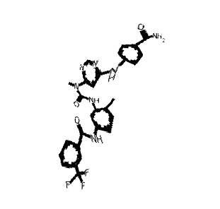 Cc1ccc(NC(=O)c2cccc(C(F)(F)F)c2)cc1NC(=O)N(C)c1cc(Nc2ccc(C(N)=O)cc2)ncn1